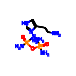 NCCc1c[nH]cn1.NP(N)(=O)OP(N)(N)=O